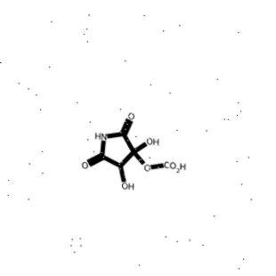 O=C(O)OC1(O)C(=O)NC(=O)C1O